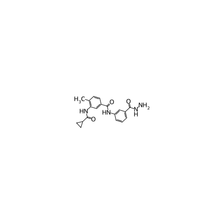 Cc1ccc(C(=O)Nc2cccc(C(=O)NN)c2)cc1NC(=O)C1CC1